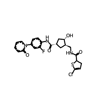 O=C(NC[C@H]1C[C@H](C(=O)Nc2ccc(-n3ccccc3=O)cc2F)C[C@@H]1O)C1CC=C(Cl)S1